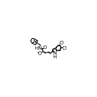 CO/C(=C/C=C/c1cc2cc(Cl)c(Cl)cc2[nH]1)C(=O)NCC1CC2CCC(C1)N2C